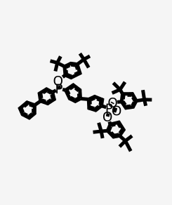 CC(C)(C)c1ccc(OP(c2ccc(-c3ccccc3)cc2)c2ccc(-c3ccc(P(=O)(Oc4ccc(C(C)(C)C)cc4C(C)(C)C)Oc4ccc(C(C)(C)C)cc4C(C)(C)C)cc3)cc2)c(C(C)(C)C)c1